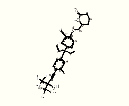 CCC(CC)(c1ccc(C#CC(O)(C(F)(F)F)C(F)(F)F)c(C)c1)c1ccc(OCC2CCCC(=O)O2)c(C)c1